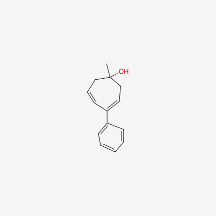 CC1(O)CC=CC(c2ccccc2)=CC1